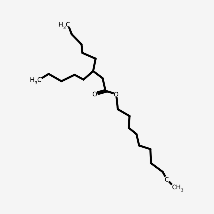 CCCCCCCCCCOC(=O)CC(CCCCC)CCCCC